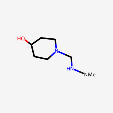 CNNCN1CCC(O)CC1